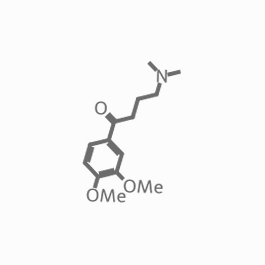 COc1ccc(C(=O)CCCN(C)C)cc1OC